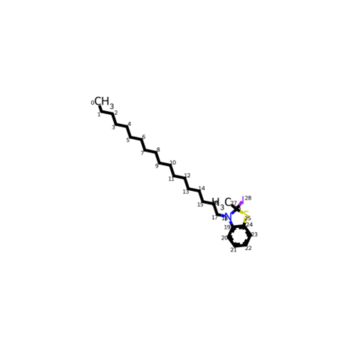 CCCCCCCCCCCCCCCCCCN1c2ccccc2SC1(C)I